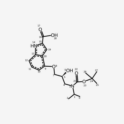 CC(C)N(C[C@H](O)COc1cccc2[nH]c(C(=O)O)cc12)C(=O)OC(C)(C)C